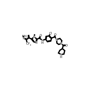 C=C(/C(=N\N)C(F)(F)F)c1cnc(C(=O)Nc2ccc(C(=O)N3CCN(C(=O)C4CCNCC4)CC3)c(Cl)c2)n1C